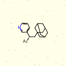 CC(=O)[C@H](CC12CC3CC(CC(C3)C1)C2)c1cccnc1